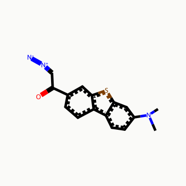 CN(C)c1ccc2c(c1)sc1cc(C(=O)C=[N+]=[N-])ccc12